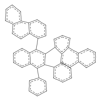 c1ccc(-c2c(-c3cccc4c3ccc3ccccc34)c(-c3cccc4c3ccc3ccccc34)c3ccccc3c2-c2ccccc2)cc1